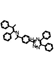 C=C(/N=N\C(=C(/N)c1ccccc1)c1ccccc1)c1ccc(/C(C)=N/C(=C(\C)c2ccccc2)c2ccccc2)cc1